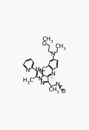 CCN(CCOC)c1ccc(/N=C2/C(C(C)N=C=O)=Nn3c2nc(-c2ccccn2)c3C)c(C)c1